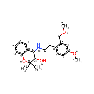 COCc1cc(OC)ccc1CCNC1c2ccccc2OC(C)(C)C1O